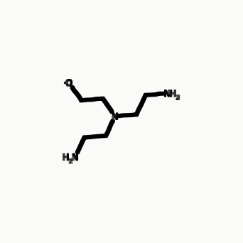 NCCN(CCN)CC[O]